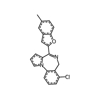 Cc1ccc2oc(C3=NCc4c(Cl)cccc4-n4cccc43)cc2c1